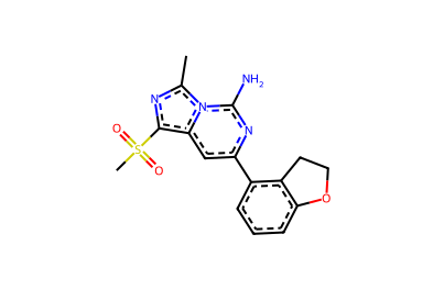 Cc1nc(S(C)(=O)=O)c2cc(-c3cccc4c3CCO4)nc(N)n12